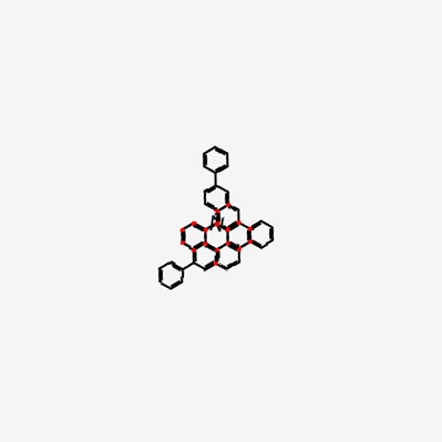 c1ccc(-c2ccc(-c3ccccc3N(c3ccc(-c4ccccc4)cc3)c3ccccc3-c3cccc(-c4ccccc4)c3-c3ccccc3-c3ccccc3)cc2)cc1